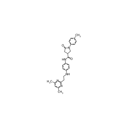 Cc1ccc(N2CC(C(=O)Nc3ccc(NCCc4nc(C)cc(C)n4)cc3)CC2=O)cc1